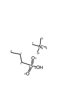 CCCS(=O)(=O)O.C[N+](C)(C)C